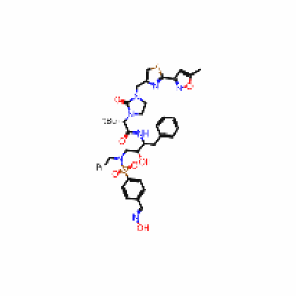 Cc1cc(-c2nc(CN3CCN([C@H](C(=O)N[C@@H](Cc4ccccc4)[C@@H](O)CN(CC(C)C)S(=O)(=O)c4ccc(C=NO)cc4)C(C)(C)C)C3=O)cs2)no1